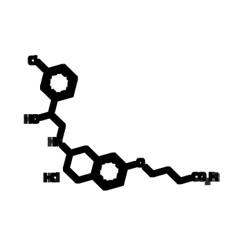 CCOC(=O)CCCOc1ccc2c(c1)CC(NCC(O)c1cccc(Cl)c1)CC2.Cl